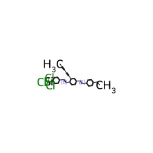 CC#CC#Cc1cc(/C=C/c2ccc(CC)cc2)ccc1/C=C/c1ccc([Si](Cl)(Cl)Cl)cc1